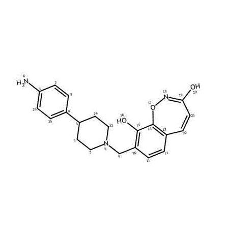 Nc1ccc(C2CCN(Cc3ccc4c(c3O)ON=C(O)C=C4)CC2)cc1